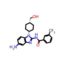 Nc1ccc2c(c1)nc(NC(=O)c1cccc(C(F)(F)F)c1)n2[C@H]1CC[C@@H](CO)CC1